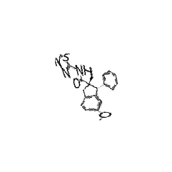 COc1ccc2c(c1)[C@@H](c1ccccc1)[C@@](C)(C(=O)Nc1nncs1)C2